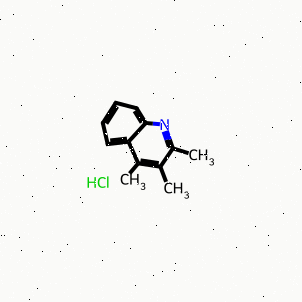 Cc1nc2ccccc2c(C)c1C.Cl